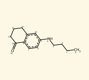 CCCCNc1ccc2c(c1)CCCC2=O